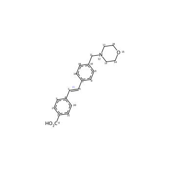 O=C(O)c1ccc(/C=C/c2ccc(CN3CCOCC3)cc2)cc1